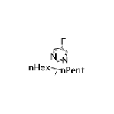 CCCCCCC(C)(CCCCC)c1ncc(F)cn1